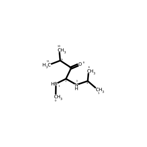 CBC(NC(C)C)C(=O)C(C)C